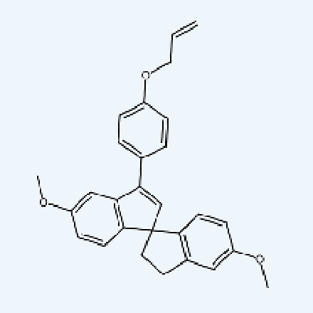 C=CCOc1ccc(C2=CC3(CCc4cc(OC)ccc43)c3ccc(OC)cc32)cc1